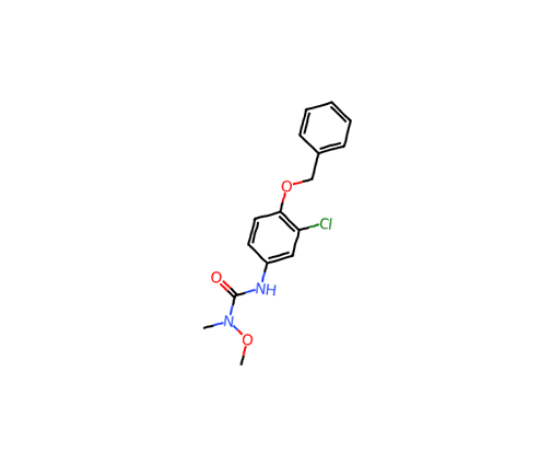 CON(C)C(=O)Nc1ccc(OCc2ccccc2)c(Cl)c1